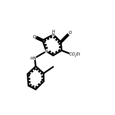 CCOC(=O)c1cn(Nc2ccccc2C)c(=O)[nH]c1=O